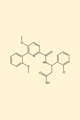 COc1ccccc1-c1nc(C(=O)NC(CC(=O)O)c2ccccc2Cl)ccc1OC